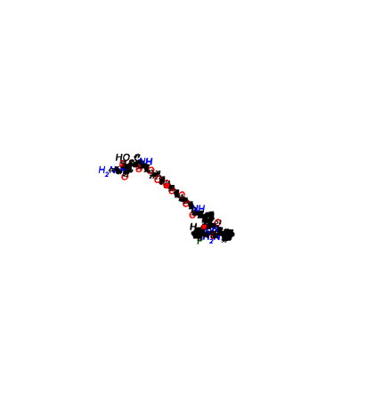 Cc1c(-c2cccc(CCC(=O)NCCOCCOCCOCCOCCOCCOCCC(=O)NC(CSC3CC(=O)N(CCN)C3=O)C(=O)O)c2)c(=O)n(C[C@H](N)c2ccccc2)c(=O)n1Cc1c(F)cccc1F